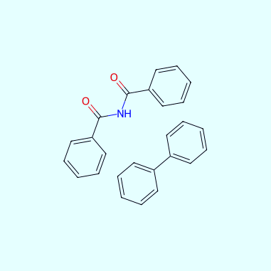 O=C(NC(=O)c1ccccc1)c1ccccc1.c1ccc(-c2ccccc2)cc1